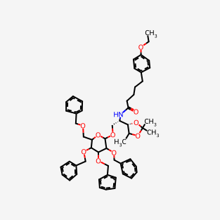 CCOc1ccc(CCCCC(=O)N[C@@H](COC2OC(COCc3ccccc3)C(OCc3ccccc3)C(OCc3ccccc3)C2OCc2ccccc2)[C@@H]2OC(C)(C)OC2C)cc1